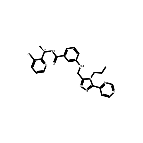 CCCn1c(CNc2cccc(C(=O)N[C@H](C)c3ncccc3Cl)c2)nnc1-c1ccncn1